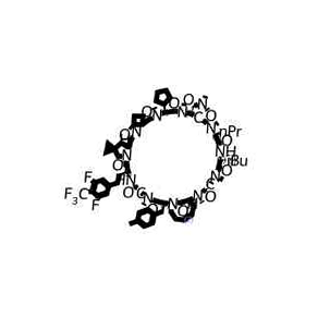 CCC[C@H]1C(=O)N[C@@H]([C@@H](C)CC)C(=O)N(C)CC(=O)N(C)[C@H]2C/C=C\CCN(C2=O)[C@@H](Cc2ccc(C)cc2)C(=O)N(C)CC(=O)N[C@@H](CCc2cc(F)c(C(F)(F)F)c(F)c2)C(=O)N2CC3(CC3)C[C@H]2C(=O)N(C)C2(CCC2)C(=O)N(C)[C@@H](C2CCCC2)C(=O)N(C)[C@H](C(=O)N(C)C)CC(=O)N1C